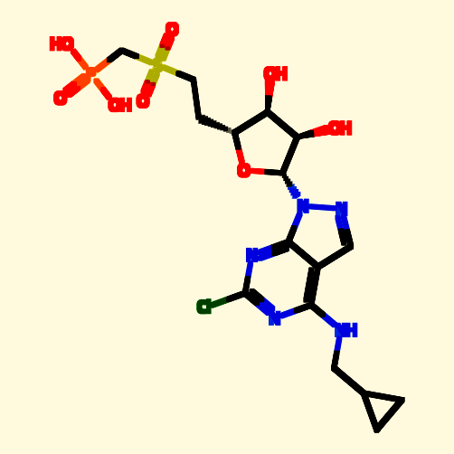 O=P(O)(O)CS(=O)(=O)CC[C@H]1O[C@@H](n2ncc3c(NCC4CC4)nc(Cl)nc32)[C@H](O)[C@@H]1O